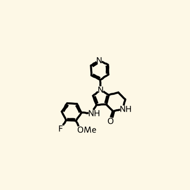 COc1c(F)cccc1Nc1cn(-c2ccncc2)c2c1C(=O)NCC2